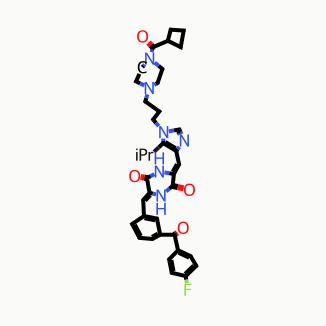 CC(C)c1c(/C=c2\[nH]c(=O)/c(=C/c3cccc(C(=O)c4ccc(F)cc4)c3)[nH]c2=O)ncn1CCCN1CCN(C(=O)C2CCC2)CC1